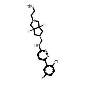 CC(C)(C)CCN1C[C@H]2C[C@H](CNc3ccc(-c4cc(F)ccc4Cl)nn3)C[C@H]2C1